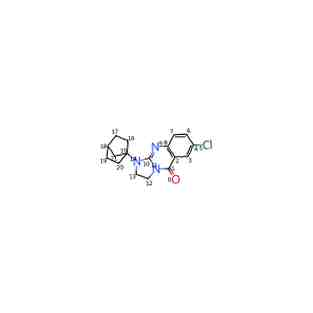 O=c1c2cc(Cl)ccc2nc2n1CCN2C12CCC(CC1)C2